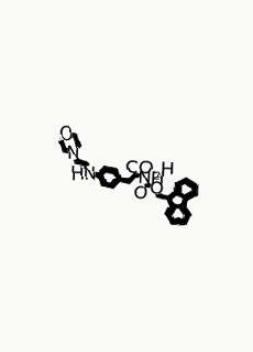 O=C(N[C@H](Cc1ccc(NCCN2CCOCC2)cc1)C(=O)O)OCC1c2ccccc2-c2ccccc21